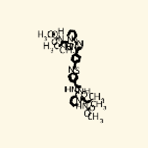 COC(=O)N[C@H](C(=O)N1CCCC[C@H]1c1ncc(-c2ccc(-c3nc4ccc(C5=CNC([C@@H]6CCCCN6C(=O)[C@@H](NC(=O)OC)C(C)C)N5)cc4s3)cc2)[nH]1)C(C)C